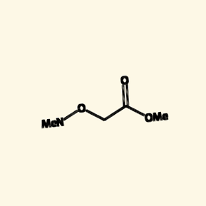 CNOCC(=O)OC